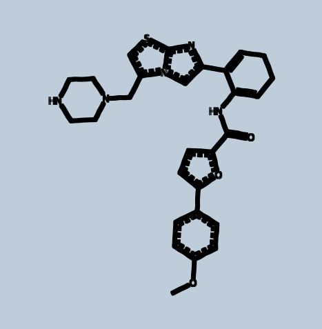 COc1ccc(-c2ccc(C(=O)NC3=CCCC=C3c3cn4c(CN5CCNCC5)csc4n3)o2)cc1